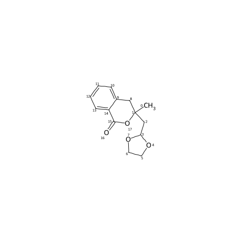 CC1(CC2OCCO2)Cc2ccccc2C(=O)O1